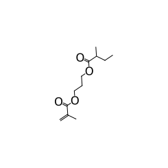 C=C(C)C(=O)OCCCOC(=O)C(C)CC